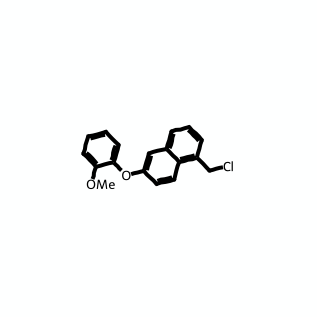 COc1ccccc1Oc1ccc2c(CCl)cccc2c1